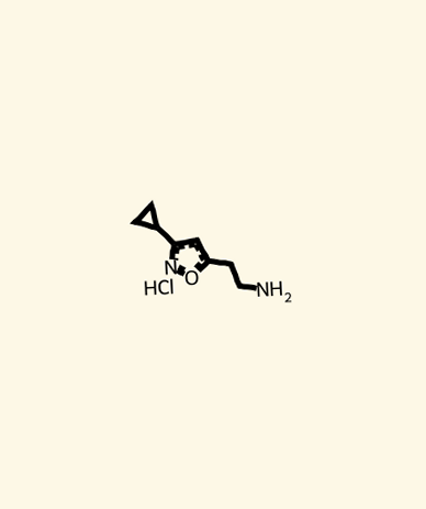 Cl.NCCc1cc(C2CC2)no1